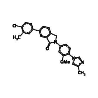 COc1cc(N2Cc3ccc(-c4ccc(Cl)c(C)c4)cc3C2=O)ccc1-n1cnc(C)c1